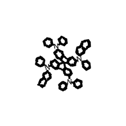 c1ccc(N(c2ccccc2)c2ccc3c(c2)-c2cc(N(c4ccccc4)c4ccc5ccccc5c4)ccc2C32c3ccc(N(c4ccccc4)c4ccccc4)cc3-c3cc(N(c4ccccc4)c4ccc5ccccc5c4)ccc32)cc1